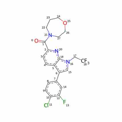 O=C(c1ccc2c(-c3ccc(Cl)c(F)c3)cn(CC(F)(F)F)c2n1)N1CCCOCC1